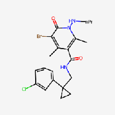 CCCNn1c(C)c(C(=O)NCC2(c3cccc(Cl)c3)CC2)c(C)c(Br)c1=O